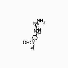 Nc1ncc(-c2noc(C3CCN(C(C=O)CC4CC4)CC3)n2)s1